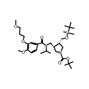 COCCCOc1cc(C(=O)N(C[C@@H]2CN(C(=O)OC(C)(C)C)C[C@H]2CO[Si](C)(C)C(C)(C)C)C(C)C)ccc1OC